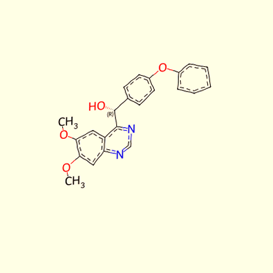 COc1cc2ncnc([C@H](O)c3ccc(Oc4ccccc4)cc3)c2cc1OC